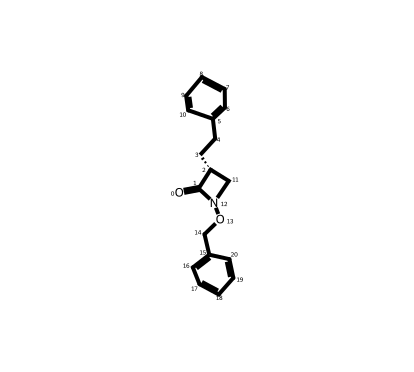 O=C1[C@H](CCc2ccccc2)CN1OCc1ccccc1